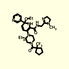 CCOC1(c2cccnc2)C=CC(N2CCN(C(=O)C3(C(F)(F)F)CCCC3)C[C@H]2CC)=C(C(=O)NCC2=NCCN2C)N1